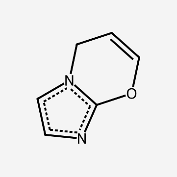 C1=COc2nccn2C1